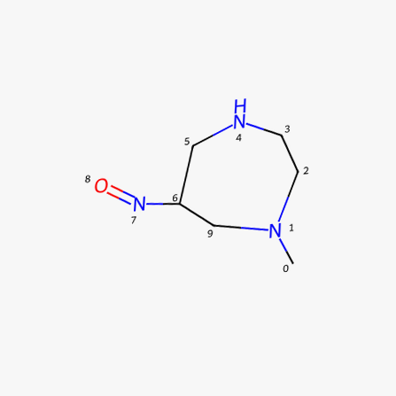 CN1CCNCC(N=O)C1